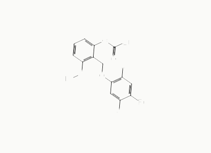 CCOc1cccc(OC(=O)CC)c1COc1cc(Cl)c(CC)cc1CC